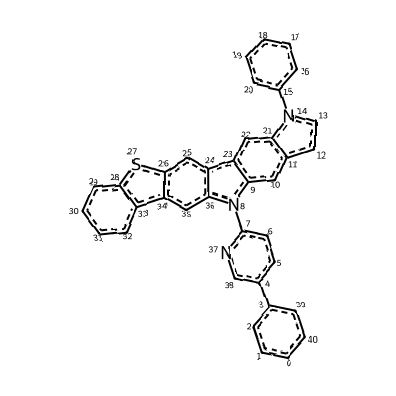 c1ccc(-c2ccc(-n3c4cc5ccn(-c6ccccc6)c5cc4c4cc5sc6ccccc6c5cc43)nc2)cc1